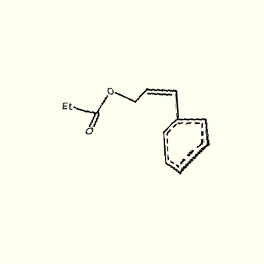 CCC(=O)OC/C=C\c1ccccc1